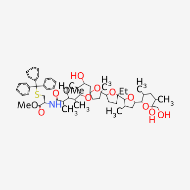 CCC1(C2OC(C3OC(O)(CO)C(C)CC3C)CC2C)CCC(C2(C)CCC3(CC(O)C(C)C(C(C)C(OC)C(C)C(=O)N[C@H](CSC(c4ccccc4)(c4ccccc4)c4ccccc4)C(=O)OC)O3)O2)O1